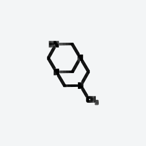 CN1CN2CNCN(C1)C2